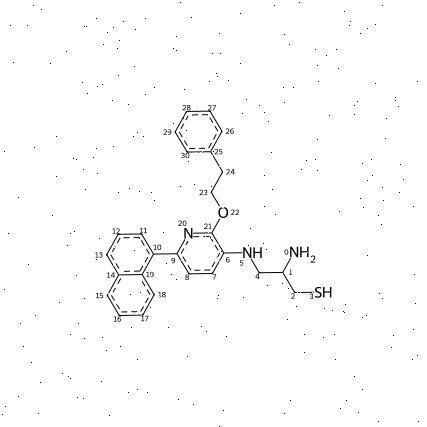 NC(CS)CNc1ccc(-c2cccc3ccccc23)nc1OCCc1ccccc1